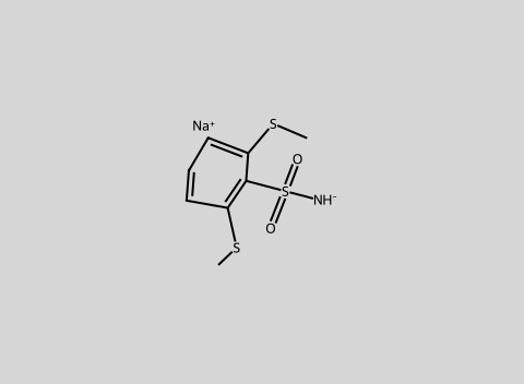 CSc1cccc(SC)c1S([NH-])(=O)=O.[Na+]